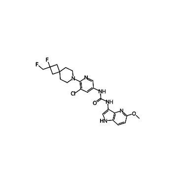 COc1ccc2[nH]cc(NC(=O)Nc3cnc(N4CCC5(CC4)CC(F)(CF)C5)c(Cl)c3)c2n1